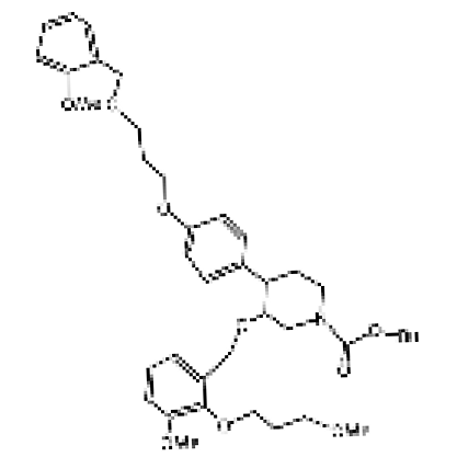 COCCCOc1c(COC2CN(C(=O)OC(C)(C)C)CCC2c2ccc(OCCCOCc3ccccc3OC)cc2)cccc1OC